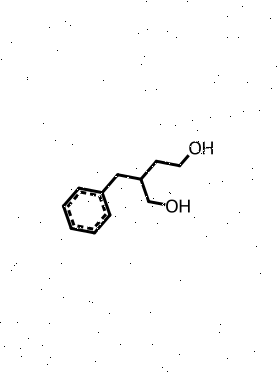 OCCC(CO)Cc1ccccc1